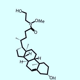 CON(CCO)C(=O)CC[C@@H](C)[C@H]1CC[C@H]2[C@@H]3CC=C4C[C@@H](O)CC[C@]4(C)[C@H]3CC[C@]12C